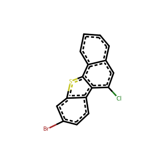 Clc1cc2ccccc2c2sc3cc(Br)ccc3c12